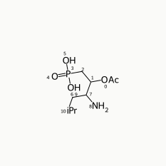 CC(=O)OC(CP(=O)(O)O)C(N)CC(C)C